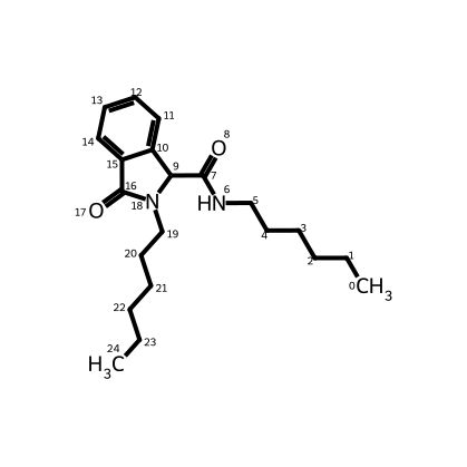 CCCCCCNC(=O)C1c2ccccc2C(=O)N1CCCCCC